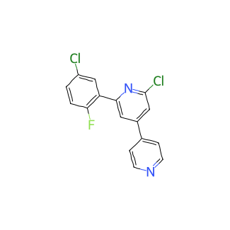 Fc1ccc(Cl)cc1-c1cc(-c2ccncc2)cc(Cl)n1